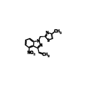 C=Cc1nn(Cc2nc(C)cs2)c2cccc([N+](=O)[O-])c12